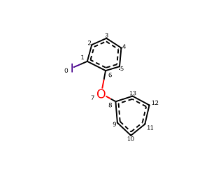 Ic1ccc[c]c1Oc1ccccc1